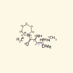 C=NN/C(=C\C(=N)C(=O)N1CCCCC[C@H]1C)OC